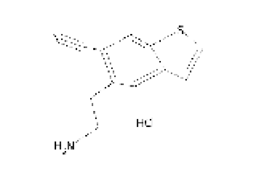 Cl.N#Cc1cc2sccc2cc1CCN